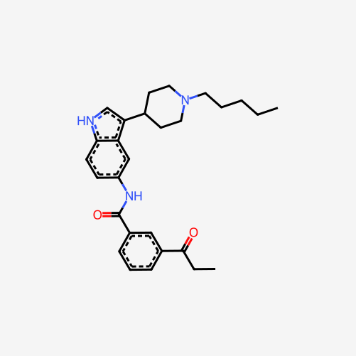 CCCCCN1CCC(c2c[nH]c3ccc(NC(=O)c4cccc(C(=O)CC)c4)cc23)CC1